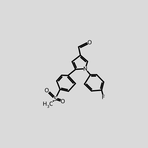 CS(=O)(=O)c1ccc(-c2cc(C=O)cn2-c2ccc(F)cc2)cc1